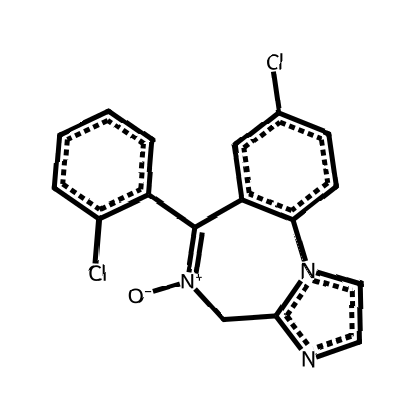 [O-][N+]1=C(c2ccccc2Cl)c2cc(Cl)ccc2-n2ccnc2C1